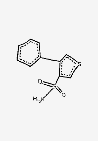 NS(=O)(=O)c1cscc1-c1ccccc1